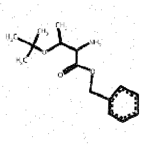 CC(OC(C)(C)C)C(N)C(=O)OCc1ccccc1